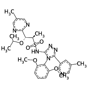 COc1cccc(OC)c1-n1c(NS(=O)(=O)[C@H](C)[C@H](OC(C)C)c2ncc(C)cn2)nnc1-c1cncc(C)c1